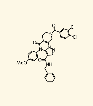 COc1ccc(-n2c(=O)c3c(n4ncc(C(=O)NCc5ccccc5)c24)CN(C(=O)c2ccc(Cl)c(Cl)c2)CC3)cc1